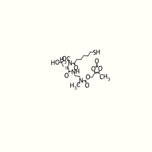 Cc1oc(=O)oc1COC(=O)N(C)CCNC(=O)[C@H](CC(=O)O)N(C)C(=O)CCCCCS